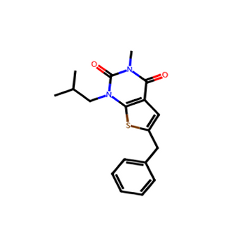 CC(C)Cn1c(=O)n(C)c(=O)c2cc(Cc3ccccc3)sc21